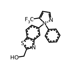 OCc1nc2cc([N+]3(c4ccccc4)N=CC=C3C(F)(F)F)ccc2s1